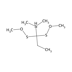 CCC(SOC)(SOC)[SiH](C)C